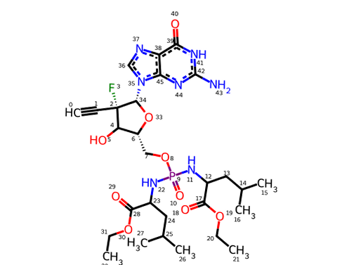 C#C[C@]1(F)C(O)[C@@H](COP(=O)(NC(CC(C)C)C(=O)OCC)NC(CC(C)C)C(=O)OCC)O[C@H]1n1cnc2c(=O)[nH]c(N)nc21